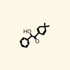 CC1(C)C=CC(C(=O)C(O)c2ccccc2)=CC1